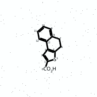 O=C(O)c1cc2c(s1)CCc1ccccc1-2